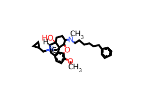 COc1ccc2c3c1OC1C(N(C)CCCCCCc4ccccc4)CC[C@@]4(O)[C@@H](C2)N(CC2CC2)CC[C@]314